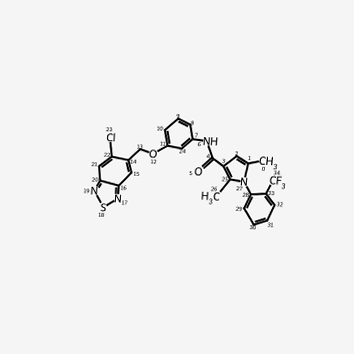 Cc1cc(C(=O)Nc2cccc(OCc3cc4nsnc4cc3Cl)c2)c(C)n1-c1ccccc1C(F)(F)F